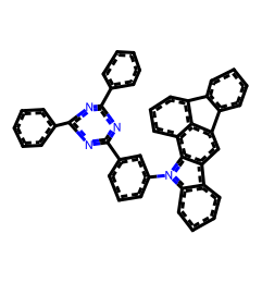 c1ccc(-c2nc(-c3ccccc3)nc(-c3cccc(-n4c5ccccc5c5cc6c7c(cccc7c54)-c4ccccc4-6)c3)n2)cc1